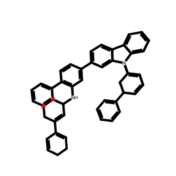 C1=CC(c2ccccc2)CC(n2c3ccccc3c3ccc(-c4ccc(-c5ccccc5)c(NC5C=C(C6=CCCC=C6)CCC5)c4)cc32)=C1